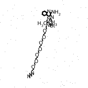 CCOCc1nc2c(N)nc3ccccc3c2n1CC(C)(C)NCCOCCOCCOCCOCCOCCOCCOCCN=[N+]=[N-]